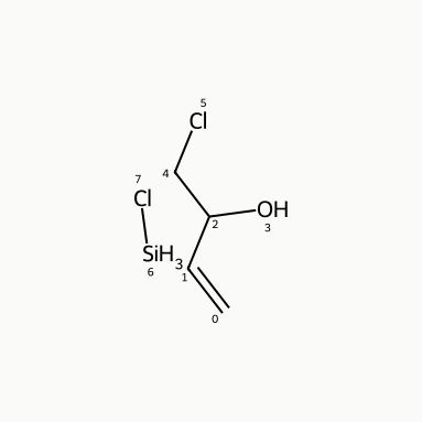 C=CC(O)CCl.[SiH3]Cl